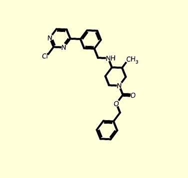 CC1CN(C(=O)OCc2ccccc2)CCC1NCc1cccc(-c2ccnc(Cl)n2)c1